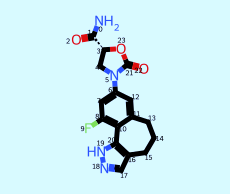 NC(=O)[C@H]1CN(c2cc(F)c3c(c2)CCCc2cn[nH]c2-3)C(=O)O1